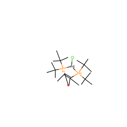 CC(C)(C)[PH]([Pd]([Cl])[PH](C(C)(C)C)(C(C)(C)C)C(C)(C)C)(C(C)(C)C)C(C)(C)C